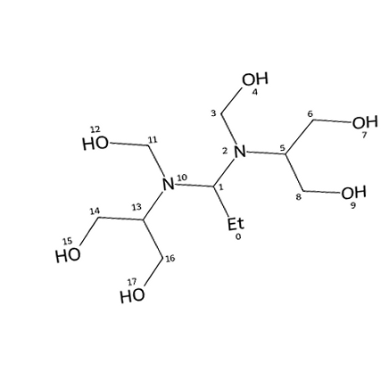 CCC(N(CO)C(CO)CO)N(CO)C(CO)CO